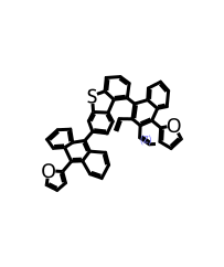 C=Cc1c(/C=C\C)c(-c2ccco2)c2ccccc2c1-c1cccc2sc3cc(-c4c5ccccc5c(-c5ccco5)c5ccccc45)ccc3c12